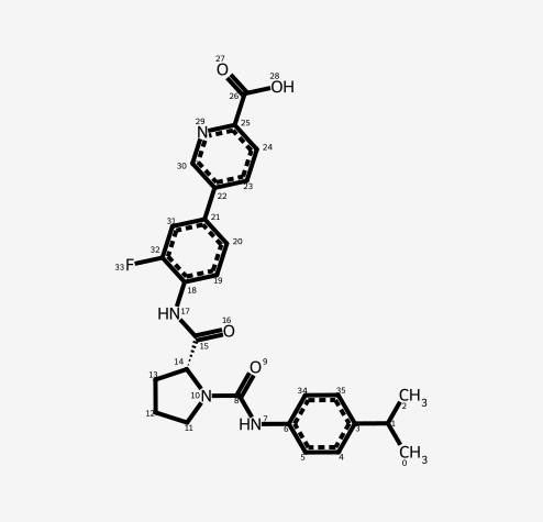 CC(C)c1ccc(NC(=O)N2CCC[C@@H]2C(=O)Nc2ccc(-c3ccc(C(=O)O)nc3)cc2F)cc1